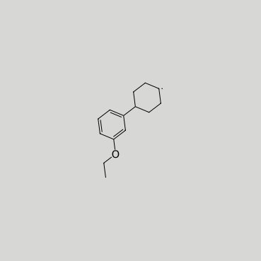 CCOc1cccc(C2CC[CH]CC2)c1